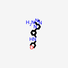 Nc1ncnc2ccc(-c3cccc(CNCC4CCOCC4)c3)nc12